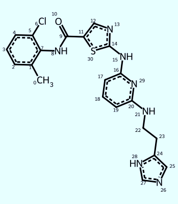 Cc1cccc(Cl)c1NC(=O)c1cnc(Nc2cccc(NCCc3cnc[nH]3)n2)s1